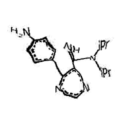 CC(C)N(C(=N)c1nccnc1-c1ccc(N)cc1)C(C)C